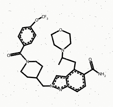 CC(Cc1c(C(N)=O)ccc2nn(CC3CCN(C(=O)c4ccc(OC(F)(F)F)cc4)CC3)cc12)N1CCOCC1